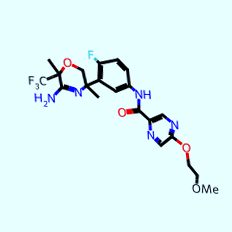 COCCOc1cnc(C(=O)Nc2ccc(F)c(C3(C)COC(C)(C(F)(F)F)C(N)=N3)c2)cn1